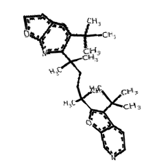 CC(C)(C)c1cc2ccoc2nc1C(C)(C)CCC(C)(C)c1oc2cnccc2c1C(C)(C)C